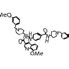 COc1cccc(CN2CCC(NC(=O)c3cnc4c(OC)cccc4c3Nc3ccc(C(=O)NC4CCN(Cc5ccccc5)CC4)cc3)CC2)c1